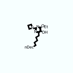 CCCCCCCCCCCCCCCc1nc(N2CCC2)nc(OCC)c1O